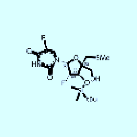 CSC[C@]1(CO)O[C@@H](n2cc(F)c(=O)[nH]c2=O)[C@@H](F)[C@@H]1O[Si](C)(C)C(C)(C)C